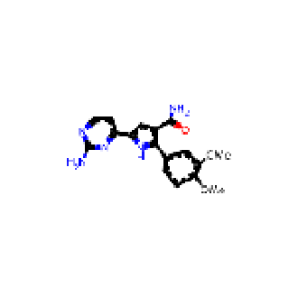 COc1ccc(-c2[nH]c(-c3ccnc(N)n3)cc2C(N)=O)cc1OC